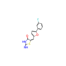 N=C1NC(=O)/C(=C\c2ccc(-c3cccc(F)c3)o2)S1